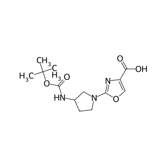 CC(C)(C)OC(=O)NC1CCN(c2nc(C(=O)O)co2)C1